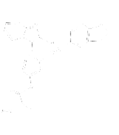 CNC(C)C(=O)Nc1ccc(-c2c(C)nc3ccccn23)c(C#Cc2ccc3c(c2)CCO3)n1